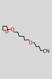 N#CCCCCOCCCCCCOC1CCCO1